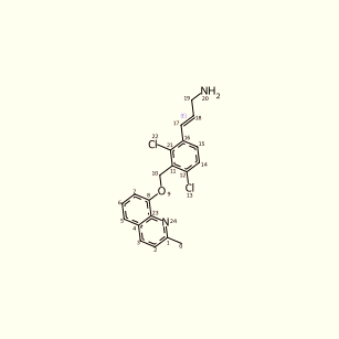 Cc1ccc2cccc(OCc3c(Cl)ccc(/C=C/CN)c3Cl)c2n1